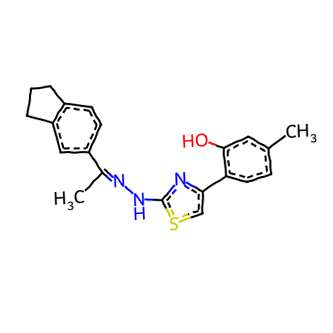 CC(=NNc1nc(-c2ccc(C)cc2O)cs1)c1ccc2c(c1)CCC2